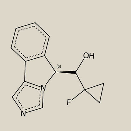 OC([C@@H]1c2ccccc2-c2cncn21)C1(F)CC1